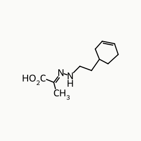 CC(=NNCCC1CC=CCC1)C(=O)O